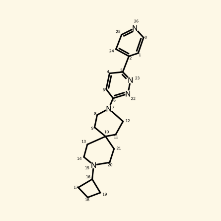 c1cc(-c2ccc(N3CCC4(CC3)CCN(C3CCC3)CC4)nn2)ccn1